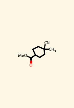 COC(=O)C1CCC(C)(C#N)CC1